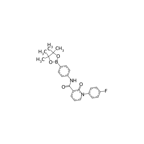 CC1(C)OB(c2ccc(NC(=O)c3cccn(-c4ccc(F)cc4)c3=O)cc2)OC1(C)C